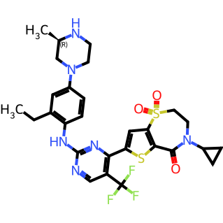 CCc1cc(N2CCN[C@H](C)C2)ccc1Nc1ncc(C(F)(F)F)c(-c2cc3c(s2)C(=O)N(C2CC2)CCS3(=O)=O)n1